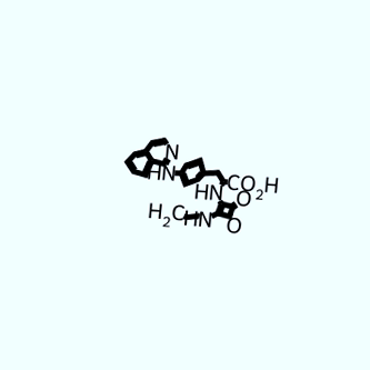 C=CCNc1c(NC(Cc2ccc(Nc3nccc4ccccc34)cc2)C(=O)O)c(=O)c1=O